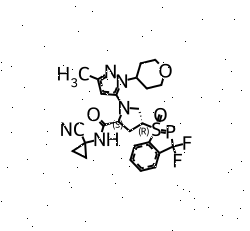 Cc1cc(N2C[C@H](S3(=O)=PC(F)(F)c4ccccc43)C[C@H]2C(=O)NC2(C#N)CC2)n(C2CCOCC2)n1